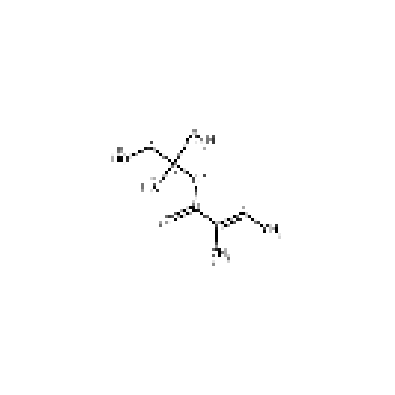 CC=C(C)C(=O)OC(C)(CO)C(=O)O